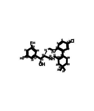 COc1ccc(Cl)cc1C1=C(CN[C@@H](C)[C@H](O)c2cc(F)cc(F)c2)CC(C)(C)CC1